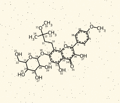 COc1ccc(-c2oc3c(CCC(C)(C)OC)c(OC4OC(CO)C(O)C(O)C4O)cc(O)c3c(=O)c2O)cc1